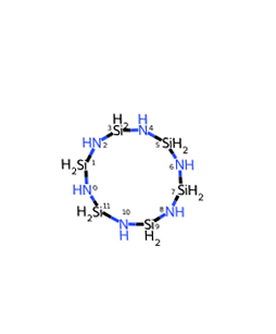 N1[SiH2]N[SiH2]N[SiH2]N[SiH2]N[SiH2]N[SiH2]1